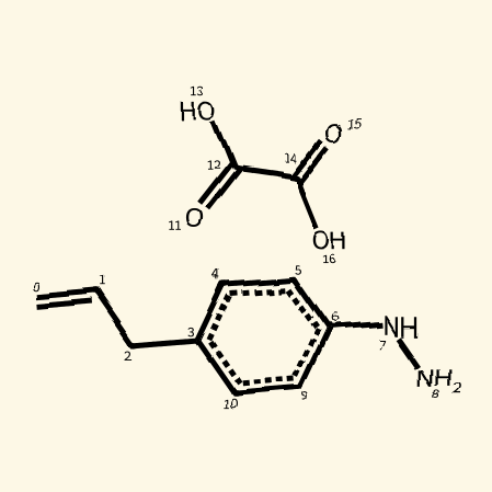 C=CCc1ccc(NN)cc1.O=C(O)C(=O)O